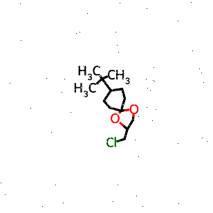 CC(C)(C)C1CCC2(CC1)OCC(CCl)O2